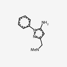 CNCc1cc(N)n(-c2ccccc2)n1